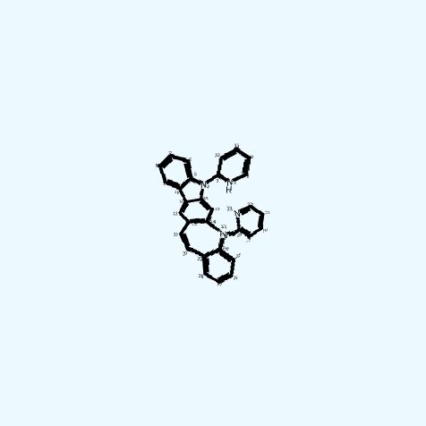 C1=CNC(n2c3ccccc3c3cc4c(cc32)N(c2ccccn2)c2ccccc2C=C4)C=C1